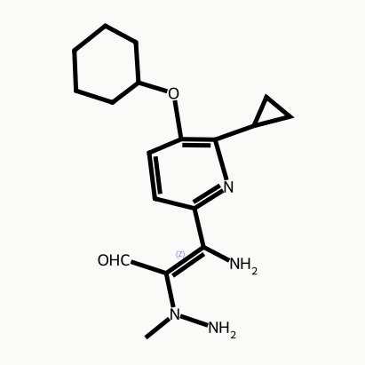 CN(N)/C(C=O)=C(\N)c1ccc(OC2CCCCC2)c(C2CC2)n1